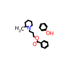 CC1CCCCN1CCCOC(=O)c1ccccc1.Oc1ccccc1